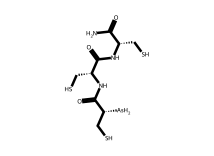 NC(=O)[C@H](CS)NC(=O)[C@@H](CS)NC(=O)[C@H]([AsH2])CS